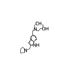 CCN(CCO)Cc1ccc2[nH]c(CN3CCCC3)cc2c1